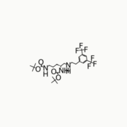 CC(C)(C)OC(=O)NCCC[C@@H](CNCCc1cc(C(F)(F)F)cc(C(F)(F)F)c1)NC(=O)OC(C)(C)C